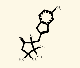 CC(=O)C1(CC2=Cc3cc(C)ccc3C2)C(=O)CC(C)(C)C1(C)C